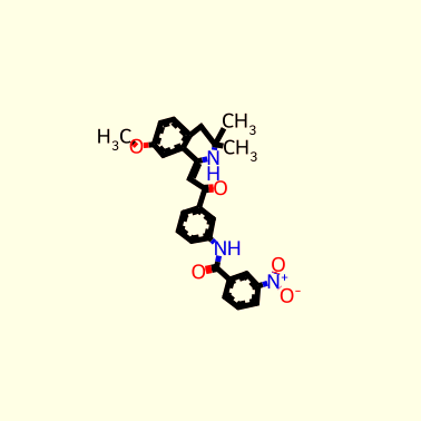 COc1ccc2c(c1)/C(=C/C(=O)c1cccc(NC(=O)c3cccc([N+](=O)[O-])c3)c1)NC(C)(C)C2